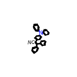 N#CC(=C(c1ccccc1)c1ccccc1)c1ccc(N(c2ccccc2)c2ccccc2)cc1